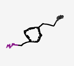 CSCCc1ccc(CP)cc1